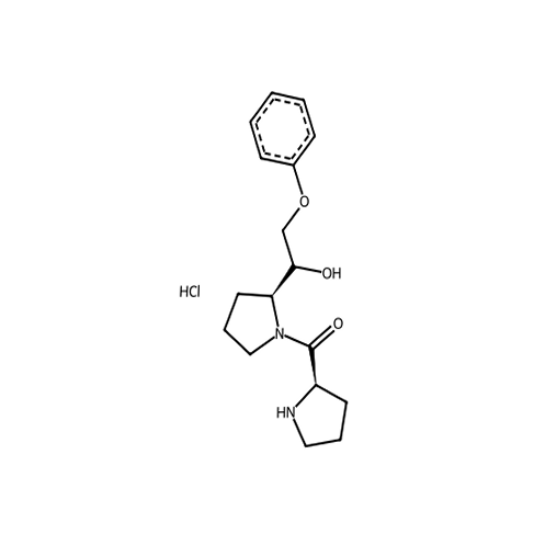 Cl.O=C([C@H]1CCCN1)N1CCC[C@H]1C(O)COc1ccccc1